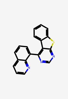 c1cnc2c(-c3ncnc4sc5ccccc5c34)cccc2c1